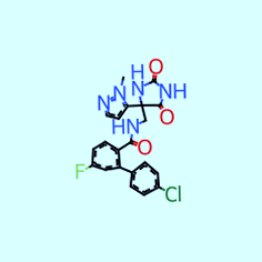 Cn1nccc1C1(CNC(=O)c2ccc(F)cc2-c2ccc(Cl)cc2)NC(=O)NC1=O